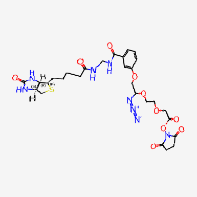 [N-]=[N+]=NC(COc1cccc(C(=O)NCNC(=O)CCCC[C@H]2SC[C@H]3NC(=O)N[C@H]32)c1)OCCOCC(=O)ON1C(=O)CCC1=O